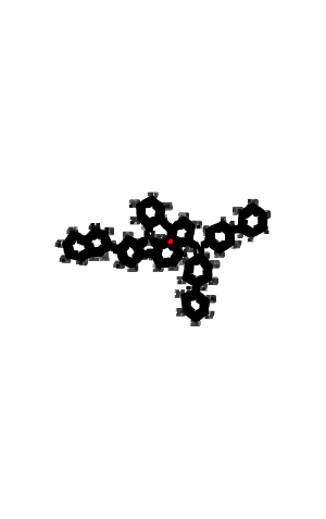 c1ccc(-c2ccc(N(c3ccc(-c4ccccc4)cc3)c3ccc(-c4ccccc4-n4c5ccccc5c5ccc(-c6ccc7ccccc7c6)cc54)cc3)cc2)cc1